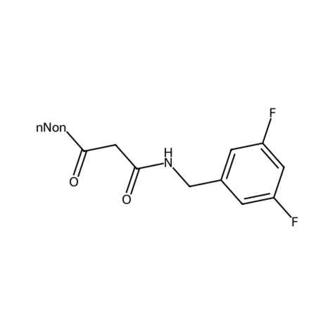 CCCCCCCCCC(=O)CC(=O)NCc1cc(F)cc(F)c1